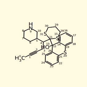 CC#CCC(C1CCCNC1)C1(C2(O)c3ccccc3Sc3ccccc32)SCCCS1